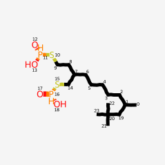 CC(CCCCCC(CCS[PH](=O)O)CS[PH](=O)O)CC(C)(C)C